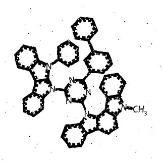 Cn1c2ccccc2c2c1ccc1c3ccccc3n(-c3nc(-c4cccc(-c5ccccc5)c4)nc(-n4c5ccccc5c5c6ccccc6n(-c6ccccc6)c54)n3)c12